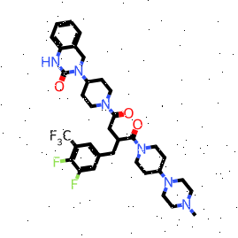 CN1CCN(C2CCN(C(=O)C(CC(=O)N3CCC(N4Cc5ccccc5NC4=O)CC3)Cc3cc(F)c(F)c(C(F)(F)F)c3)CC2)CC1